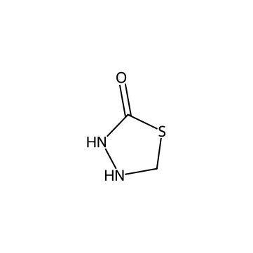 O=C1NNCS1